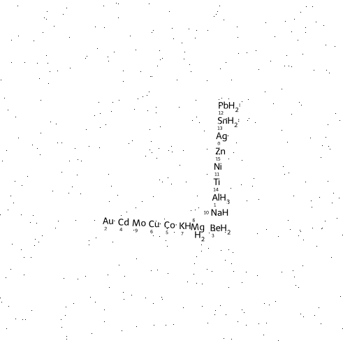 [Ag].[AlH3].[Au].[BeH2].[Cd].[Co].[Cu].[KH].[MgH2].[Mo].[NaH].[Ni].[PbH2].[SnH2].[Ti].[Zn]